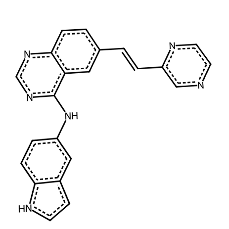 C(=Cc1cnccn1)c1ccc2ncnc(Nc3ccc4[nH]ccc4c3)c2c1